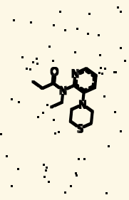 CCC(=O)N(CC)c1ncccc1N1CCSCC1